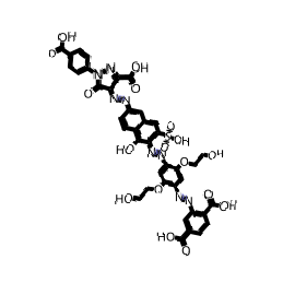 O=C(O)C1=NN(c2ccc(C(=O)O)cc2)C(=O)C1/N=N/c1ccc2c(O)c(/N=N/c3cc(OCCO)c(/N=N/c4cc(C(=O)O)ccc4C(=O)O)cc3OCCO)c(S(=O)(=O)O)cc2c1